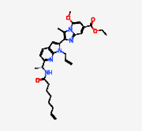 C=CCCCCCC(=O)N[C@H](C)c1ccc2cc(-c3nc4cc(C(=O)OCC)cc(OC)n4c3C)n(CC=C)c2n1